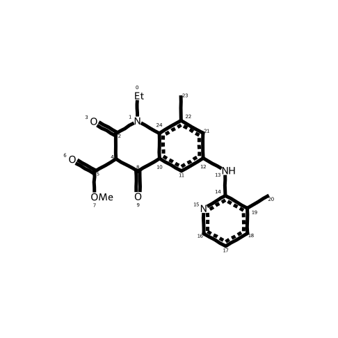 CCN1C(=O)C(C(=O)OC)C(=O)c2cc(Nc3ncccc3C)cc(C)c21